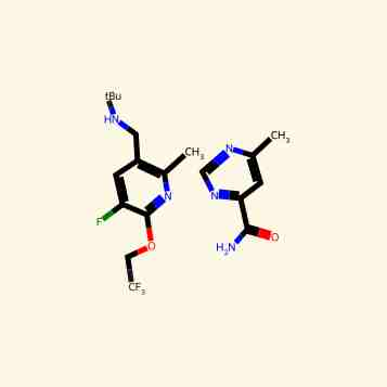 Cc1cc(C(N)=O)ncn1.Cc1nc(OCC(F)(F)F)c(F)cc1CNC(C)(C)C